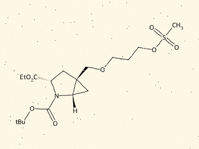 CCOC(=O)[C@@H]1C[C@]2(COCCCOS(C)(=O)=O)C[C@@H]2N1C(=O)OC(C)(C)C